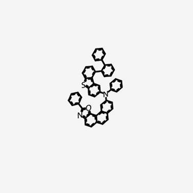 c1ccc(-c2nc3ccc4ccc5ccc(N(c6ccccc6)c6ccc7sc8cccc(-c9ccccc9-c9ccccc9)c8c7c6)cc5c4c3o2)cc1